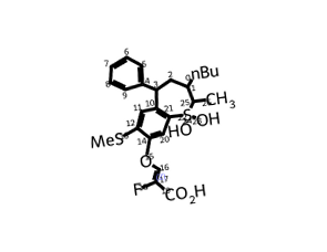 CCCCC1CC(c2ccccc2)c2cc(SC)c(O/C=C(\F)C(=O)O)cc2S(O)(O)C1C